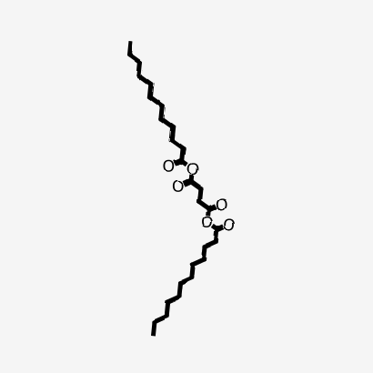 CCCCCCCCCCCC(=O)OC(=O)CCC(=O)OC(=O)CCCCCCCCCCC